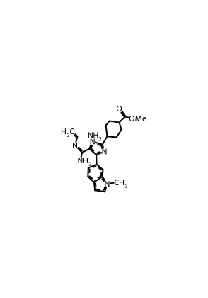 C=C/N=C(/N)c1c(-c2ccc3ccn(C)c3c2)nc(C2CCC(C(=O)OC)CC2)n1N